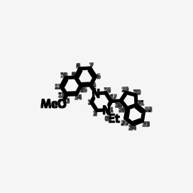 CCN1CCN(c2cccc3ccc(OC)cc23)CC1C1CCc2ccccc21